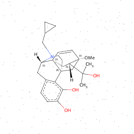 CO[C@@]12C=C[C@]3(C[C@H]1C(C)(C)O)[C@@H]1Cc4ccc(O)c(O)c4[C@]3(CCN1CC1CC1)C2